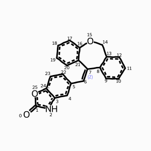 O=c1[nH]c2cc(/C=C3/c4ccccc4COc4ccccc43)ccc2o1